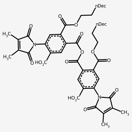 CCCCCCCCCCCCOC(=O)c1cc(N2C(=O)C(C)=C(C)C2=O)c(C(=O)O)cc1C(=O)OC(=O)c1cc(C(=O)O)c(N2C(=O)C(C)=C(C)C2=O)cc1C(=O)OCCCCCCCCCCCC